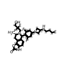 C[C@@H]1Cc2c(ccc3[nH]c(=O)oc23)C(c2c(F)cc(N3CC(NCCCF)C3)cc2F)N1CC(F)(F)CO